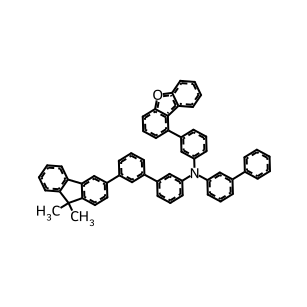 CC1(C)c2ccccc2-c2cc(-c3cccc(-c4cccc(N(c5cccc(-c6ccccc6)c5)c5cccc(-c6cccc7oc8ccccc8c67)c5)c4)c3)ccc21